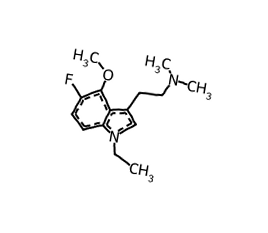 CCn1cc(CCN(C)C)c2c(OC)c(F)ccc21